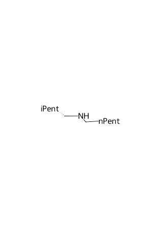 CCCCCCNC[C@@H](C)CCC